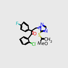 C=C(OC)Sc1ncnn1CC1(c2ccc(F)cc2)OC1c1ccccc1Cl